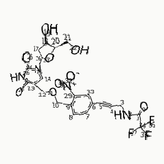 O=C(NCC#Cc1ccc(COCc2cn([C@H]3C[C@@H](O)[C@@H](CO)O3)c(=O)[nH]c2=O)c([N+](=O)[O-])c1)C(F)(F)F